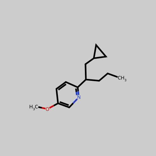 CCCC(CC1CC1)c1ccc(OC)cn1